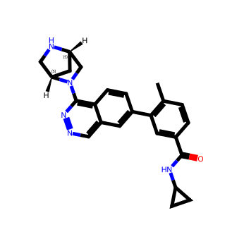 Cc1ccc(C(=O)NC2CC2)cc1-c1ccc2c(N3C[C@@H]4C[C@H]3CN4)nncc2c1